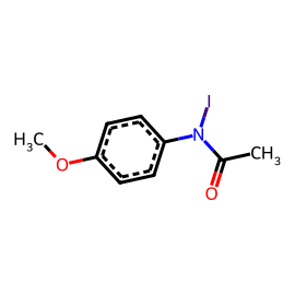 COc1ccc(N(I)C(C)=O)cc1